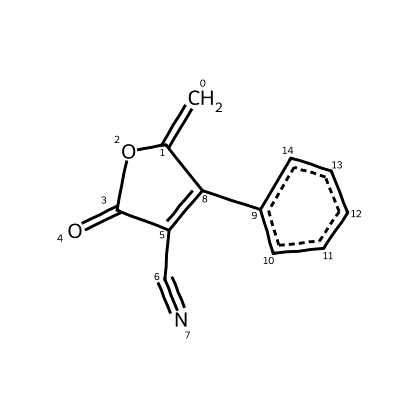 C=C1OC(=O)C(C#N)=C1c1ccccc1